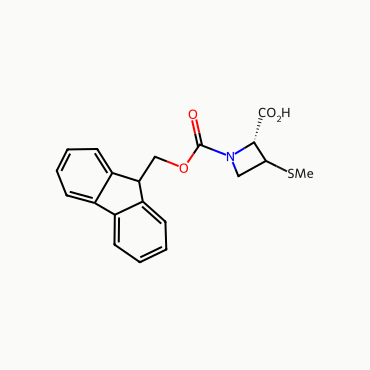 CSC1CN(C(=O)OCC2c3ccccc3-c3ccccc32)[C@@H]1C(=O)O